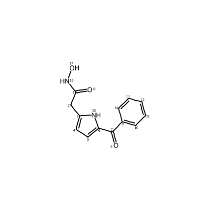 O=C(Cc1ccc(C(=O)c2ccccc2)[nH]1)NO